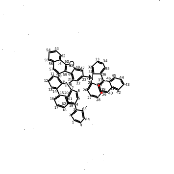 c1ccc(-c2ccc(N(c3ccccc3-c3ccccc3)c3cc(N(c4ccccc4)c4ccccc4-c4cccc5ccccc45)cc4oc5c6ccccc6ccc5c34)cc2)cc1